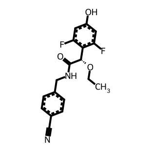 CCO[C@H](C(=O)NCc1ccc(C#N)cc1)c1c(F)cc(O)cc1F